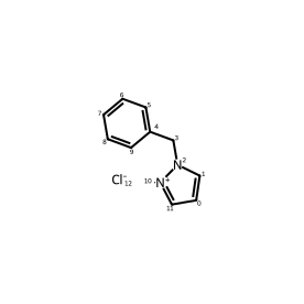 C1=CN(Cc2ccccc2)[N+]=C1.[Cl-]